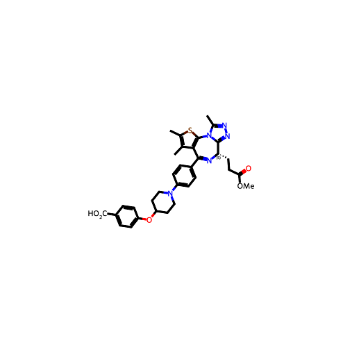 COC(=O)CC[C@@H]1N=C(c2ccc(N3CCC(Oc4ccc(C(=O)O)cc4)CC3)cc2)c2c(sc(C)c2C)-n2c(C)nnc21